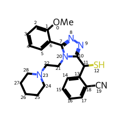 COc1ccccc1-c1nnc(C(S)c2ccccc2C#N)n1CCN1CCCCC1